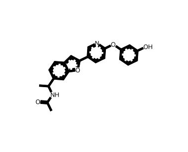 CC(=O)NC(C)c1ccc2cc(-c3ccc(Oc4cccc(O)c4)nc3)oc2c1